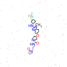 Cn1c(Nc2cccc(SC(F)(F)F)c2)nc2cc(Oc3ccnc(C(=O)NCCCN4CCCC4=O)c3)ccc21